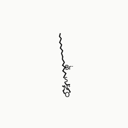 CCCCCCCCCCCCCCCCSCC(C)[N+]1(C)CCOCC1.[Br-]